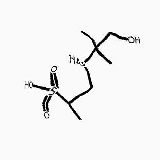 CC(C[AsH]C(C)(C)CO)S(=O)(=O)O